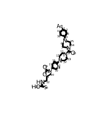 CC(=O)c1ccc(N2CCN(C(=O)N3CCN(c4ccc(N5CC(CNC(O)=S)OC5=O)cn4)CC3)CC2)cc1